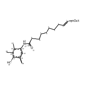 CCCCCCCCC=CCCCCCCCC(=O)Nc1cc(C)c(O)c(C)c1C